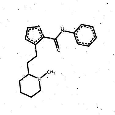 CN1CCCCC1CCc1ccsc1C(=O)Nc1ccccc1